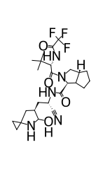 CC(C)(C)[C@H](NC(=O)C(F)(F)F)C(=O)N1C[C@@H]2CCCC2[C@H]1C(=O)N[C@H](C#N)C[C@@H]1CC2(CC2)NC1O